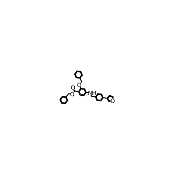 O=C(OCc1ccccc1)c1ccc(NCc2ccc(-c3ccoc3)cc2)cc1OCc1ccccc1